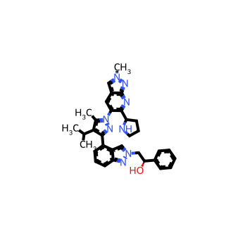 Cc1c(C(C)C)c(-c2cccc3nn(C[C@H](O)c4ccccc4)cc23)nn1-c1cc2cn(C)nc2nc1C1CCCN1